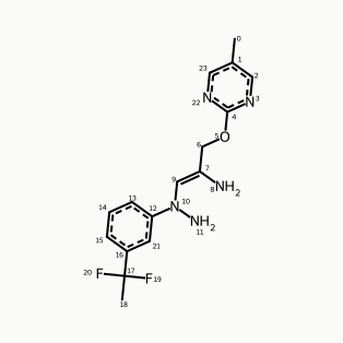 Cc1cnc(OC/C(N)=C/N(N)c2cccc(C(C)(F)F)c2)nc1